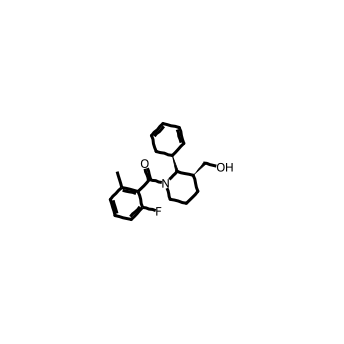 Cc1cccc(F)c1C(=O)N1CCC[C@H](CO)C1[C@@H]1C=CC=CC1